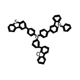 c1ccc(-n2c3ccccc3c3cc(-c4ccc(N(c5ccc(-c6ccc7sc8ccccc8c7c6)cc5)c5cccc(-c6cccc7c6oc6ccccc67)c5)cc4)ccc32)cc1